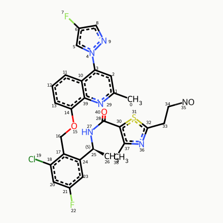 Cc1cc(-n2cc(F)cn2)c2cccc(OCc3c(Cl)cc(F)cc3[C@H](C)NC(=O)c3sc(CCN=O)nc3C)c2n1